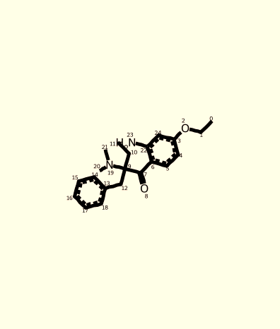 CCOc1ccc(C(=O)C(CC)(Cc2ccccc2)N(C)C)c(N)c1